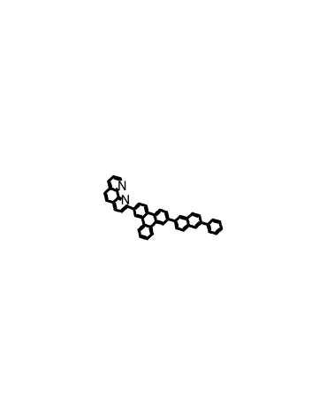 c1ccc(-c2ccc3cc(-c4ccc5c6ccc(-c7ccc8ccc9cccnc9c8n7)cc6c6ccccc6c5c4)ccc3c2)cc1